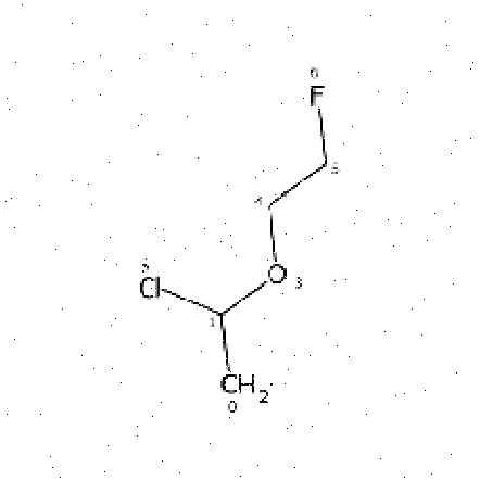 [CH2]C(Cl)OCCF